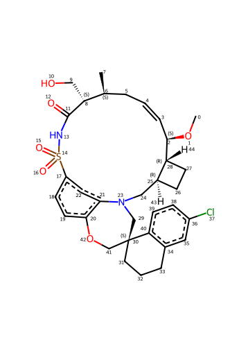 CO[C@@H]1C=CC[C@H](C)[C@@H](CO)C(=O)NS(=O)(=O)c2ccc3c(c2)N(C[C@@H]2CC[C@H]21)C[C@@]1(CCCc2cc(Cl)ccc21)CO3